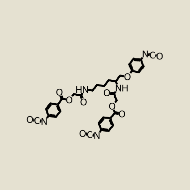 O=C=Nc1ccc(OCC(CCCCNC(=O)COC(=O)c2ccc(N=C=O)cc2)NC(=O)COC(=O)c2ccc(N=C=O)cc2)cc1